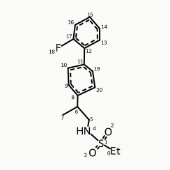 CCS(=O)(=O)NCC(C)c1ccc(-c2ccccc2F)cc1